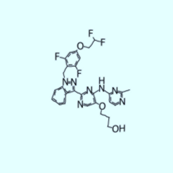 Cc1nccc(Nc2nc(-c3nn(Cc4c(F)cc(OCC(F)F)cc4F)c4ccccc34)ncc2OCCCO)n1